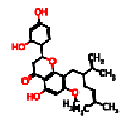 C=C(C)C(CC=C(C)C)Cc1c(OC)cc(O)c2c1O[C@H](C1C=CC(O)=CC1O)CC2=O